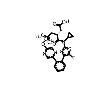 COc1cnc(-c2ccccc2-c2nc(N(C(=O)[C@@H](CC(=O)O)CC(C)C)C3CC3)sc2F)cn1